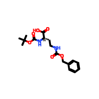 CC(C)(C)OC(=O)N[C@@H](CCNC(=O)OCc1ccccc1)C(=O)O